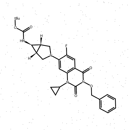 CC(C)(C)OC(=O)N[C@H]1[C@@H]2CN(c3cc4c(cc3F)c(=O)n(OCc3ccccc3)c(=O)n4C3CC3)C[C@@H]21